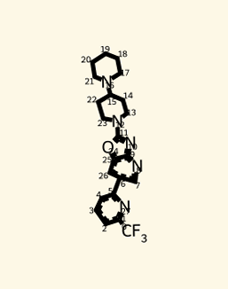 FC(F)(F)c1cccc(-c2cnc3nc(N4CCC(N5CCCCC5)CC4)oc3c2)n1